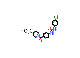 O=C(Nc1ccc(Cl)cc1)Nc1ccc(C(=O)N2CCC(C(=O)O)CC2)cc1